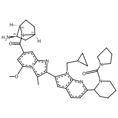 COc1cc(C(=O)N2[C@H]3CC[C@@H]2[C@H](N)C3)cc2nc(-c3cc4ccc(C5CCCCN5C(=O)N5CCCC5)nc4n3CC3CC3)c(C)n12